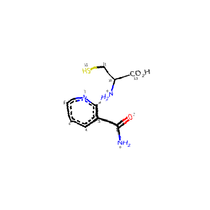 NC(=O)c1cccnc1.NC(CS)C(=O)O